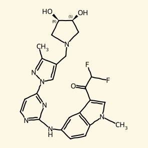 Cc1nn(-c2ccnc(Nc3ccc4c(c3)c(C(=O)C(F)F)cn4C)n2)cc1CN1C[C@@H](O)[C@@H](O)C1